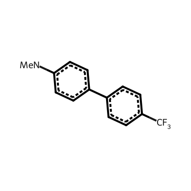 CNc1ccc(-c2ccc(C(F)(F)F)cc2)cc1